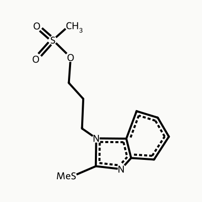 CSc1nc2ccccc2n1CCCOS(C)(=O)=O